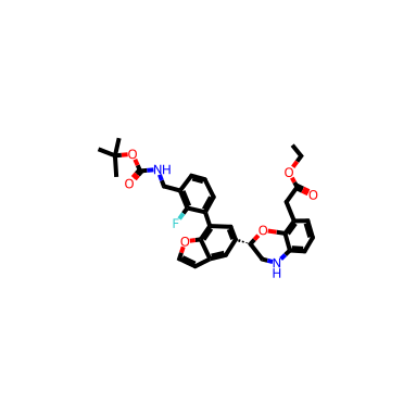 CCOC(=O)Cc1cccc2c1O[C@@H](c1cc(-c3cccc(CNC(=O)OC(C)(C)C)c3F)c3occc3c1)CN2